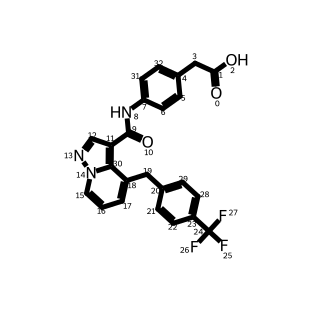 O=C(O)Cc1ccc(NC(=O)c2cnn3cccc(Cc4ccc(C(F)(F)F)cc4)c23)cc1